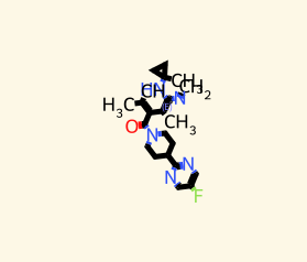 C=N/C(NC1(C)CC1)=C(\C)C(C(=O)N1CCC(c2ncc(F)cn2)CC1)=C(C)C